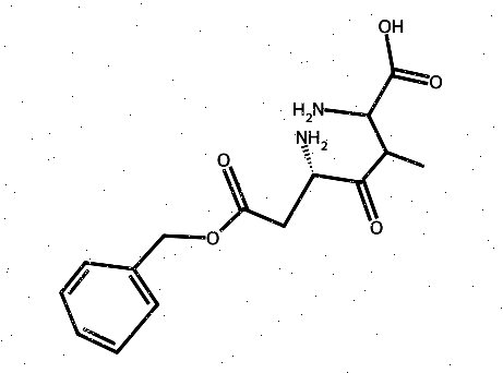 CC(C(=O)[C@@H](N)CC(=O)OCc1ccccc1)C(N)C(=O)O